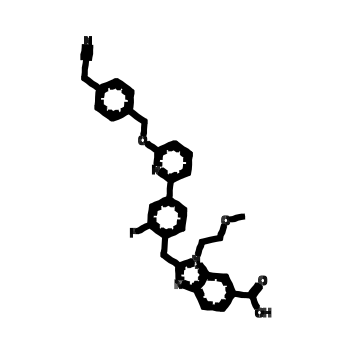 COCCn1c(Cc2ccc(-c3cccc(OCc4ccc(CC#N)cc4)n3)cc2F)nc2ccc(C(=O)O)cc21